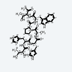 C[C@H](NC(=O)[C@H](Cc1c[nH]cn1)NC(=O)[C@H](Cc1c[nH]cn1)NC(=O)[C@@H](N)[C@@H](C)O)C(=O)N1CCC[C@H]1C(=O)N[C@@H](Cc1c[nH]c2ccccc12)C(=O)N[C@H](C(N)=O)[C@@H](C)O